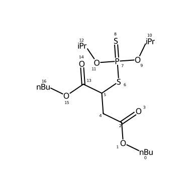 CCCCOC(=O)CC(SP(=S)(OC(C)C)OC(C)C)C(=O)OCCCC